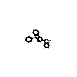 C1=CCC(n2c3c(c4cc(C5NNc6ccccc65)ccc42)C=CCC3)C=C1